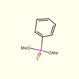 COP(=S)(OC)c1ccccc1